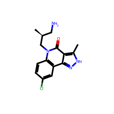 Cc1[nH]nc2c1c(=O)n(C[C@@H](C)CN)c1ccc(Cl)cc21